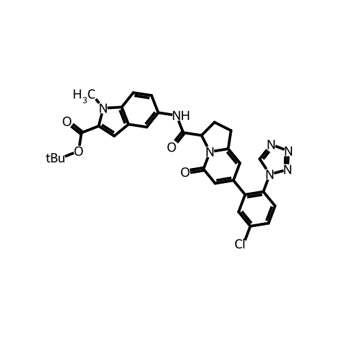 Cn1c(C(=O)OC(C)(C)C)cc2cc(NC(=O)C3CCc4cc(-c5cc(Cl)ccc5-n5cnnn5)cc(=O)n43)ccc21